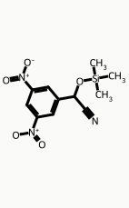 C[Si](C)(C)OC(C#N)c1cc([N+](=O)[O-])cc([N+](=O)[O-])c1